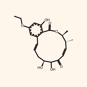 CCOc1cc(O)c2c(c1)/C=C/C[C@H](O)C(O)C(=O)/C=C\[C@@H](C)[C@H](C)OC2=O